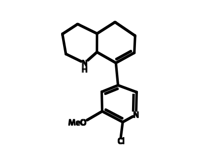 COc1cc(C2=CCCC3CCCNC23)cnc1Cl